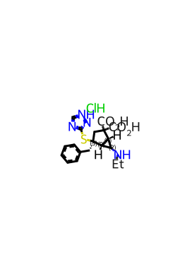 CCN[C@@H]1[C@@H]2[C@H]1[C@@](Cc1ccccc1)(Sc1nc[nH]n1)CC2(C(=O)O)C(=O)O.Cl